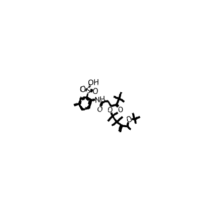 C=C(C(C)OC(C)(C)C)C(C)(C)C(C)(C)OC(CC(=O)Nc1ccc(C)cc1S(=O)(=O)O)C(=O)C(C)(C)C